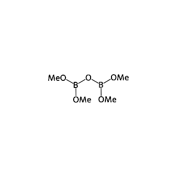 COB(OC)OB(OC)OC